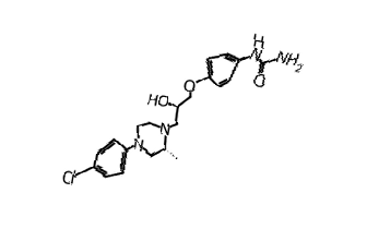 C[C@@H]1CN(c2ccc(Cl)cc2)CCN1C[C@@H](O)COc1ccc(NC(N)=O)cc1